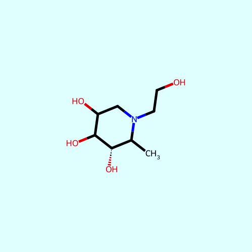 CC1[C@H](O)C(O)C(O)CN1CCO